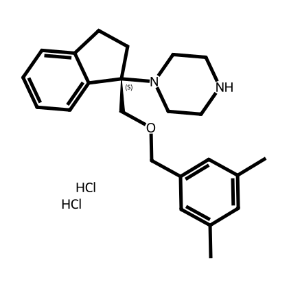 Cc1cc(C)cc(COC[C@]2(N3CCNCC3)CCc3ccccc32)c1.Cl.Cl